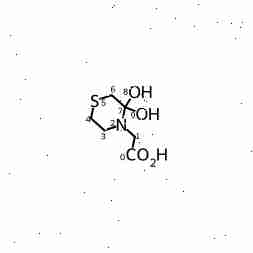 O=C(O)CN1CCSCC1(O)O